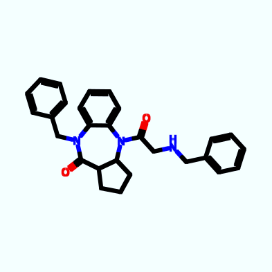 O=C1C2CCCC2N(C(=O)CNCc2ccccc2)c2ccccc2N1Cc1ccccc1